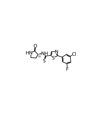 O=C1NCC[C@@H]1NC(=S)c1cnc(-c2cc(F)cc(Cl)c2)s1